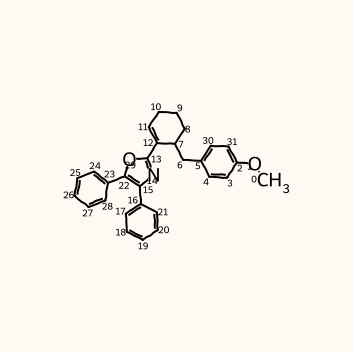 COc1ccc(CC2CCCC=C2c2nc(-c3ccccc3)c(-c3ccccc3)o2)cc1